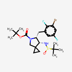 CC(C)(C)OC(=O)N1CC2(CC2)[C@@H](N[S@+]([O-])C(C)(C)C)[C@H]1Cc1cc(F)cc(Br)c1F